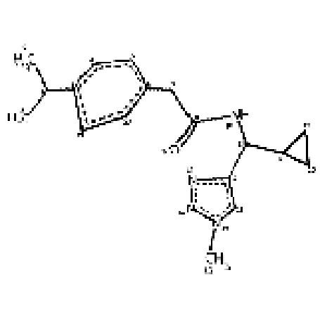 CC(C)c1ccc(CC(=O)NC(c2cn(C)nn2)C2CC2)cc1